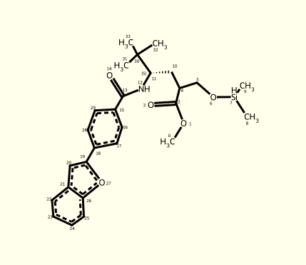 COC(=O)C(CO[SiH](C)C)C[C@H](NC(=O)c1ccc(-c2cc3ccccc3o2)cc1)C(C)(C)C